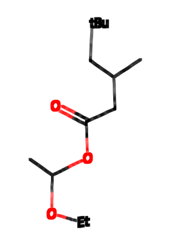 CCOC(C)OC(=O)CC(C)CC(C)(C)C